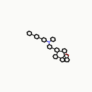 c1ccc(-c2ccc(-c3ccc(N(c4ccccc4)c4cccc(-c5ccc6c(c5)-c5ccccc5-c5ccccc5C5(c7ccccc7-6)c6ccccc6-c6ccccc65)c4)cc3)cc2)cc1